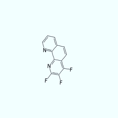 Fc1nc2c(ccc3cccnc32)c(F)c1F